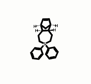 C1=C[C@H]2C[C@@H]1[C@@H]1CC[Si](c3ccccc3)(c3ccccc3)CC[C@H]12